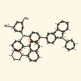 CC(C)(C)c1cc(N(c2ccc(-c3ccc4c(c3)c3ccccc3n4-c3ccccc3)cc2)c2ccccc2-c2cccc3cccc(C4CCCCC4)c23)cc(C(C)(C)C)c1